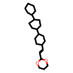 C(=CC1OCCCO1)C1CCC(C2CCC(C3CCCCC3)CC2)CC1